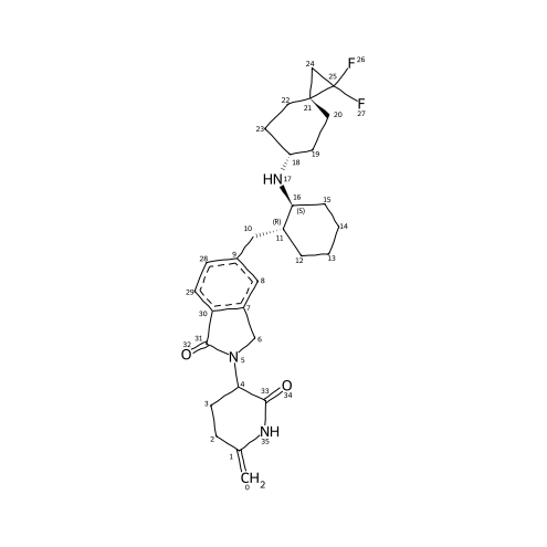 C=C1CCC(N2Cc3cc(C[C@H]4CCCC[C@@H]4N[C@H]4CC[C@@]5(CC4)CC5(F)F)ccc3C2=O)C(=O)N1